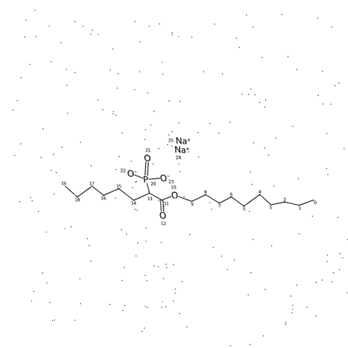 CCCCCCCCCCOC(=O)C(CCCCCC)P(=O)([O-])[O-].[Na+].[Na+]